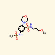 CCOCCCNS(=O)(=O)c1cc(NS(C)(=O)=O)ccc1N1CCOCC1